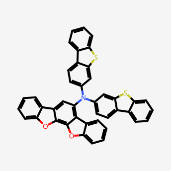 c1ccc2c(c1)oc1c2cc(N(c2ccc3c(c2)sc2ccccc23)c2ccc3c(c2)sc2ccccc23)c2c3ccccc3oc12